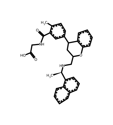 Cc1ccc(C2CC(CN[C@H](C)c3cccc4ccccc34)Oc3ccccc32)cc1C(=O)NCC(=O)O